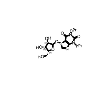 CCCn1c(=O)c2c(ncn2OC2O[C@H](CO)[C@@H](O)[C@H]2O)n(CCC)c1=O